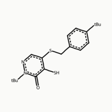 CC(C)(C)c1ccc(CSc2cnn(C(C)(C)C)c(=O)c2S)cc1